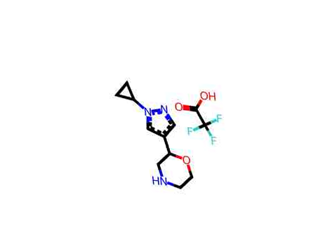 O=C(O)C(F)(F)F.c1nn(C2CC2)cc1C1CNCCO1